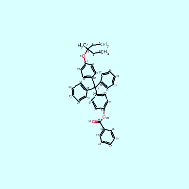 CCC(C)(CC)Oc1ccc(C(c2ccccc2)(c2ccccc2)c2ccc(OC(=O)c3ccccc3)cc2)cc1